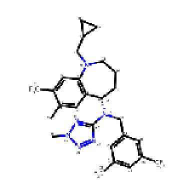 Cc1cc2c(cc1C(F)(F)F)N(CC1CC1)CCC[C@@H]2N(Cc1cc(C(F)(F)F)cc(C(F)(F)F)c1)c1nnn(C)n1